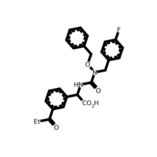 CCC(=O)c1cccc(C(NC(=O)N(Cc2ccc(F)cc2)OCc2ccccc2)C(=O)O)c1